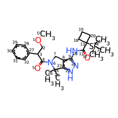 COCC(C(=O)N1Cc2c(NC(=O)C3([Si](C)(C)C)CCC3)n[nH]c2C1(C)C)c1ccccc1